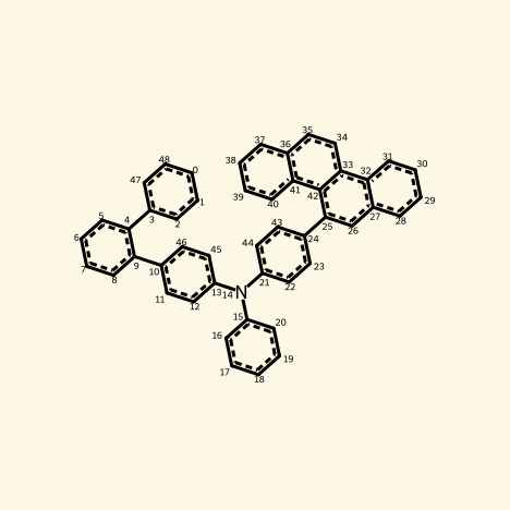 c1ccc(-c2ccccc2-c2ccc(N(c3ccccc3)c3ccc(-c4cc5ccccc5c5ccc6ccccc6c45)cc3)cc2)cc1